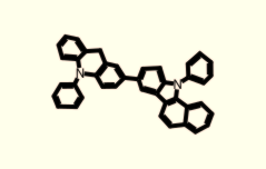 c1ccc(N2c3ccccc3Cc3cc(-c4ccc5c(c4)c4ccc6ccccc6c4n5-c4ccccc4)ccc32)cc1